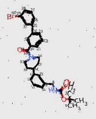 CC(C)(C)OC(=O)NCc1cccc(C2CCN(C(=O)c3cccc(-c4cccc(Br)c4)c3)CC2)c1